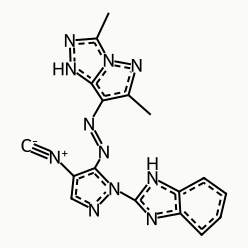 [C-]#[N+]c1cnn(-c2nc3ccccc3[nH]2)c1/N=N/c1c(C)nn2c(C)n[nH]c12